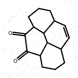 O=C1C(=O)C2CCCC3C=CC4CCCC1C4C32